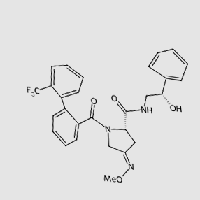 CON=C1C[C@@H](C(=O)NC[C@@H](O)c2ccccc2)N(C(=O)c2ccccc2-c2ccccc2C(F)(F)F)C1